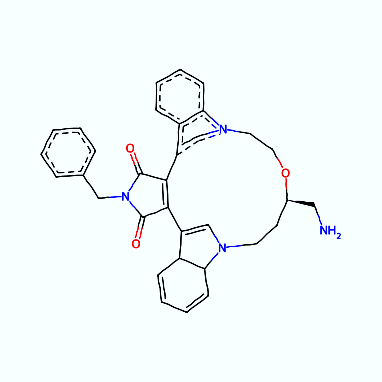 NC[C@H]1CCN2C=C(C3=C(C(=O)N(Cc4ccccc4)C3=O)c3cn(c4ccccc34)CCO1)C1C=CC=CC12